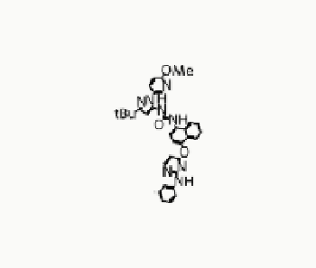 COc1ccc(-n2nc(C(C)(C)C)cc2NC(=O)Nc2ccc(Oc3ccnc(Nc4c[c]ccc4)n3)c3ccccc23)cn1